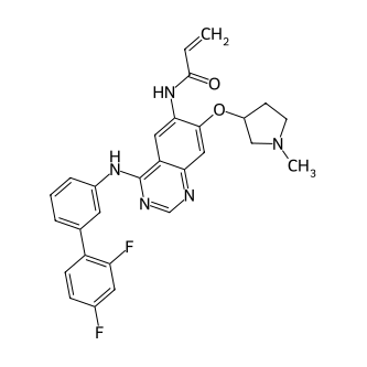 C=CC(=O)Nc1cc2c(Nc3cccc(-c4ccc(F)cc4F)c3)ncnc2cc1OC1CCN(C)C1